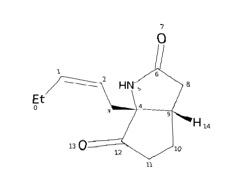 CC/C=C\C[C@@]12NC(=O)C[C@@H]1CCC2=O